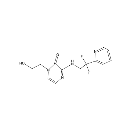 O=c1c(NCC(F)(F)c2ccccn2)nccn1CCO